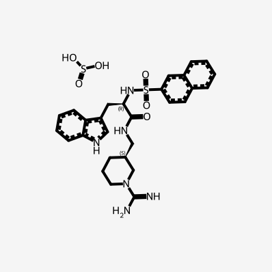 N=C(N)N1CCC[C@@H](CNC(=O)[C@@H](Cc2c[nH]c3ccccc23)NS(=O)(=O)c2ccc3ccccc3c2)C1.O=S(O)O